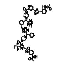 CC(=O)Nc1cccc(-c2cnc(-c3ccnc(C(=O)N4CCN(C(c5cccc(Cn6nnc(C(c7ccccc7)N7CCN(C(=O)n8cc(-c9nc%10cc(NC(C)=O)ccc%10o9)nc8C(F)(F)F)CC7)n6)c5)c5nnn(C)n5)CC4)c3)s2)c1